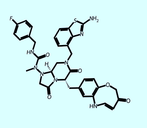 CN(C(=O)NCc1ccc(F)cc1)N1CC(=O)N2[C@@H](Cc3ccc4c(c3)N/C=C/C(=O)CO4)C(=O)N(Cc3cccc4sc(N)nc34)C[C@@H]21